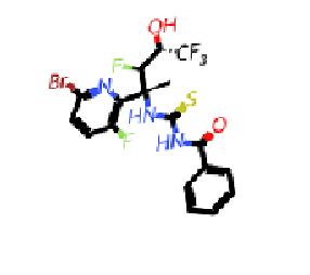 C[C@@](NC(=S)NC(=O)c1ccccc1)(c1nc(Br)ccc1F)[C@@H](F)[C@H](O)C(F)(F)F